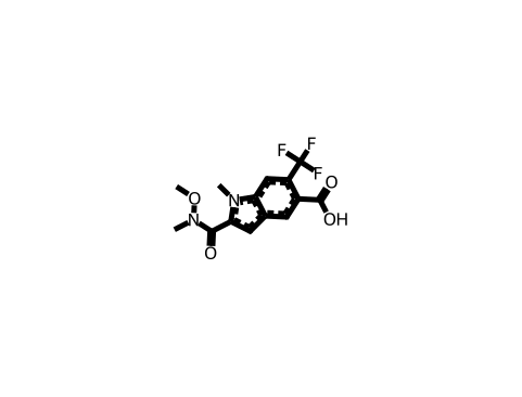 CON(C)C(=O)c1cc2cc(C(=O)O)c(C(F)(F)F)cc2n1C